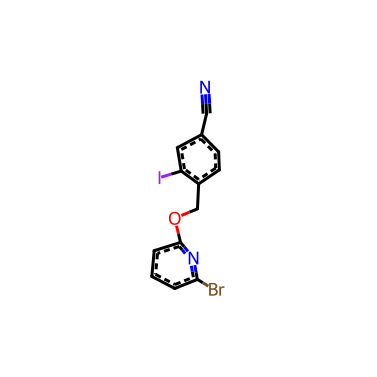 N#Cc1ccc(COc2cccc(Br)n2)c(I)c1